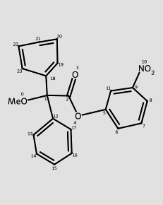 COC(C(=O)Oc1cccc([N+](=O)[O-])c1)(c1ccccc1)c1ccccc1